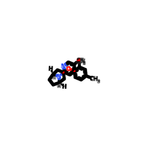 Cc1ccc(O[C@H]2C[C@H]3CC[C@@H](C2)N3c2ccc(C(F)(F)F)cn2)c(C#N)c1